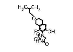 CC(C)CCOC1CCc2cc(O)c(N3CC(=O)NS3(=O)=O)c(F)c2C1